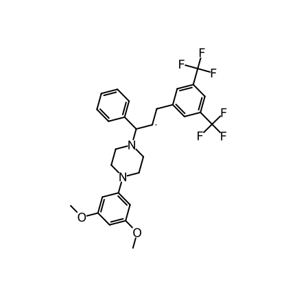 COc1cc(OC)cc(N2CCN(C([CH]Cc3cc(C(F)(F)F)cc(C(F)(F)F)c3)c3ccccc3)CC2)c1